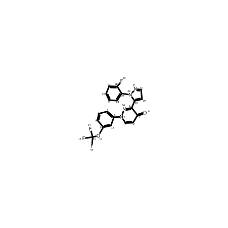 O=c1ccn(-c2cccc(OC(F)(F)F)c2)nc1-c1ccnn1-c1ccccc1F